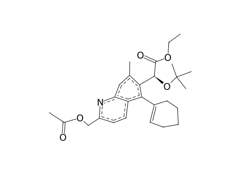 CCOC(=O)[C@@H](OC(C)(C)C)c1c(C)cc2nc(COC(C)=O)ccc2c1C1=CCCCC1